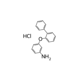 Cl.Nc1cccc(Oc2ccccc2-c2ccccc2)c1